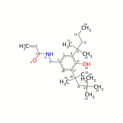 C=CC(=O)NCc1cc(C(C)(C)CCC)c(O)c(C(C)(C)CC(C)(C)C)c1